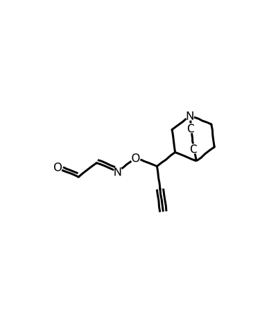 C#CC(ON=CC=O)C1CN2CCC1CC2